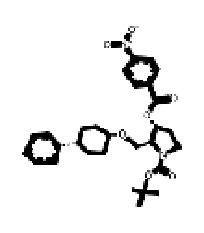 CC(C)(C)OC(=O)N1CC[C@@H](OC(=O)c2ccc([N+](=O)[O-])cc2)[C@@H]1CO[C@H]1CC[C@@H](c2ccccc2)CC1